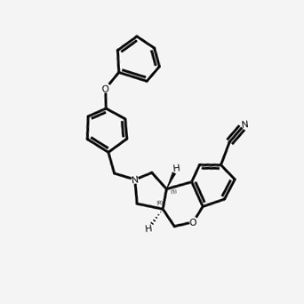 N#Cc1ccc2c(c1)[C@H]1CN(Cc3ccc(Oc4ccccc4)cc3)C[C@@H]1CO2